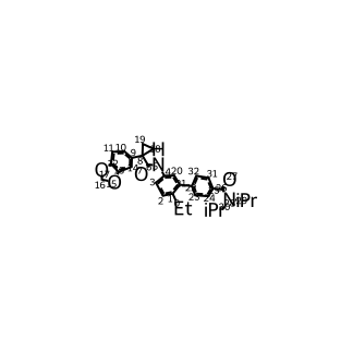 CCc1ccc(NC(=O)C2(c3ccc4c(c3)OCO4)CC2)cc1-c1ccc(C(=O)N(C(C)C)C(C)C)cc1